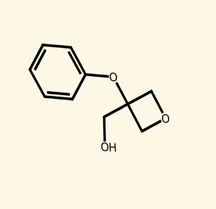 OCC1(Oc2ccccc2)COC1